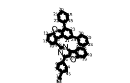 N#Cc1ccc(-c2nc(-c3cccc4oc5c(-c6ccccc6)cc(-c6ccccc6)cc5c34)nc3c2oc2ccccc23)cc1